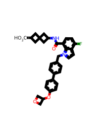 O=C(NC1CC2(C1)CC(C(=O)O)C2)c1ccc(F)c2ccn(Cc3ccc(-c4ccc(OC5COC5)cc4)cc3)c12